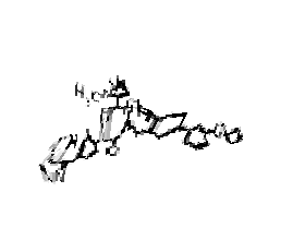 Cn1cnnc1-c1ccc(NC(=O)C(Cc2cc(-c3cccc(OC4CCC4)c3)ccc2Cl)NC(=O)c2ccnn2C)cc1